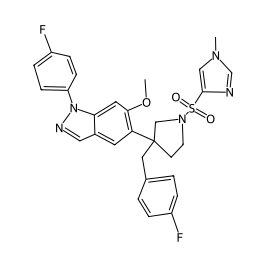 COc1cc2c(cnn2-c2ccc(F)cc2)cc1C1(Cc2ccc(F)cc2)CCN(S(=O)(=O)c2cn(C)cn2)C1